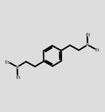 CCN(CC)CCc1ccc(CCN(CC)CC)cc1